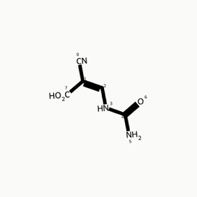 N#CC(=CNC(N)=O)C(=O)O